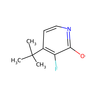 CC(C)(C)c1ccnc([O])c1F